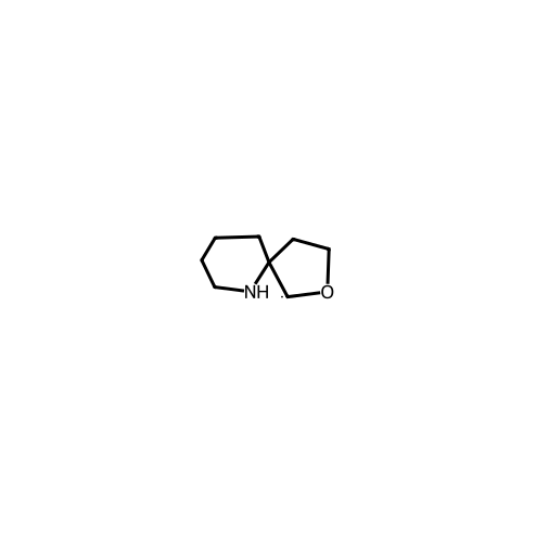 [CH]1OCCC12CCCCN2